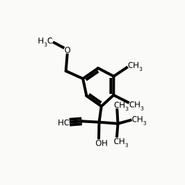 C#CC(O)(c1cc(COC)cc(C)c1C)C(C)(C)C